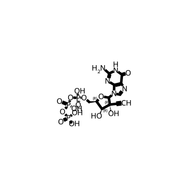 C#C[C@]1(O)C(n2cnc3c(=O)[nH]c(N)nc32)O[C@H](COP(=O)(O)OP(=O)(O)OP(=O)(O)O)[C@H]1O